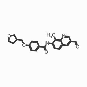 Cc1c(NC(=O)c2ccc(OCC3CCOC3)cc2)ccc2cc(C=O)cnc12